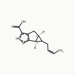 C/C=C\CC1[C@H]2c3n[nH]c(C(=O)O)c3C[C@@H]12